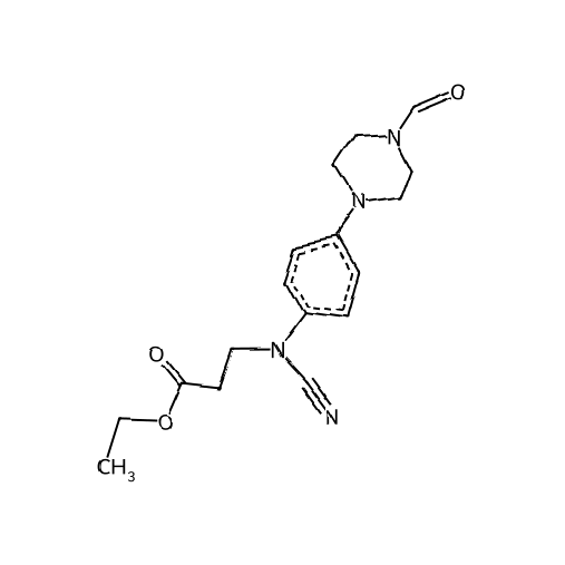 CCOC(=O)CCN(C#N)c1ccc(N2CCN(C=O)CC2)cc1